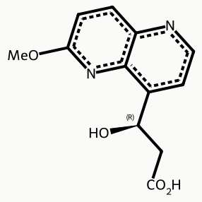 COc1ccc2nccc([C@H](O)CC(=O)O)c2n1